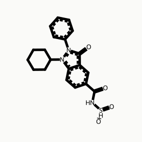 O=C(N[SH](=O)=O)c1ccc2c(c1)c(=O)n(-c1ccccc1)n2C1CCCCC1